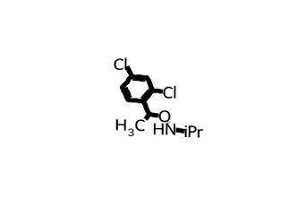 CC(C)NOC(C)c1ccc(Cl)cc1Cl